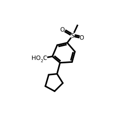 CS(=O)(=O)c1ccc(C2CCCC2)c(C(=O)O)c1